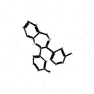 Cc1cccc(C2=NCc3ccccc3N=C2c2cccc(C)c2)c1